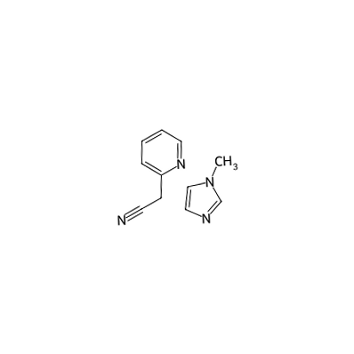 Cn1ccnc1.N#CCc1ccccn1